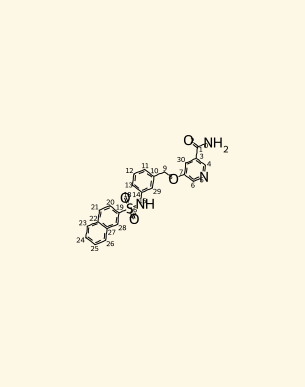 NC(=O)c1cncc(OCc2cccc(NS(=O)(=O)c3ccc4ccccc4c3)c2)c1